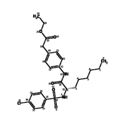 CCCCCC[C@H](NS(=O)(=O)c1ccc(Cl)cc1)C(=O)Nc1ccc(CC(=O)OCC)cc1